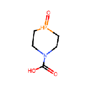 O=C(O)N1CC[PH](=O)CC1